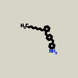 CCCCCCCCc1ccccc1Cc1ccc(Cc2ccc(N)cc2)cc1